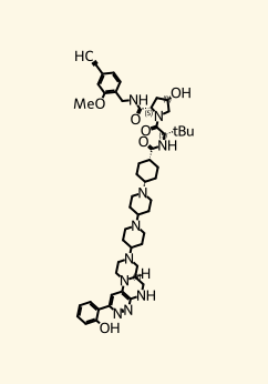 C#Cc1ccc(CNC(=O)[C@@H]2C[C@@H](O)CN2C(=O)[C@@H](NC(=O)[C@H]2CC[C@@H](N3CCC(N4CCC(N5CCN6c7cc(-c8ccccc8O)nnc7NC[C@H]6C5)CC4)CC3)CC2)C(C)(C)C)c(OC)c1